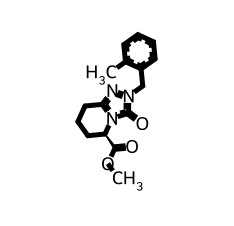 COC(=O)[C@H]1CCCc2nn(Cc3ccccc3C)c(=O)n21